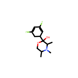 CC1COC(O)(C2C=C(F)C=C(F)C2)C(C)N1C